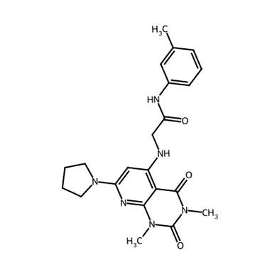 Cc1cccc(NC(=O)CNc2cc(N3CCCC3)nc3c2c(=O)n(C)c(=O)n3C)c1